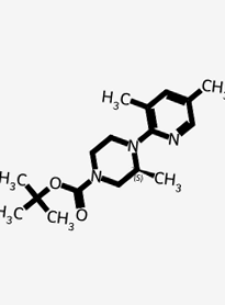 Cc1cnc(N2CCN(C(=O)OC(C)(C)C)C[C@@H]2C)c(C)c1